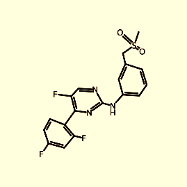 CS(=O)(=O)Cc1cccc(Nc2ncc(F)c(-c3ccc(F)cc3F)n2)c1